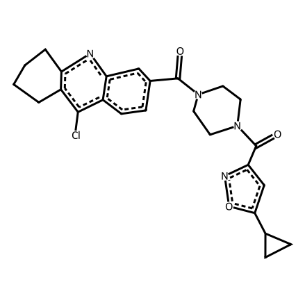 O=C(c1ccc2c(Cl)c3c(nc2c1)CCCC3)N1CCN(C(=O)c2cc(C3CC3)on2)CC1